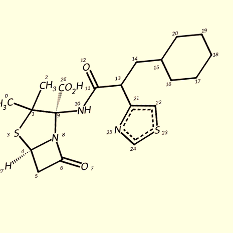 CC1(C)S[C@@H]2CC(=O)N2[C@@]1(NC(=O)C(CC1CCCCC1)c1cscn1)C(=O)O